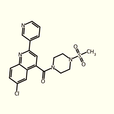 CS(=O)(=O)N1CCN(C(=O)c2cc(-c3cccnc3)nc3ccc(Cl)cc23)CC1